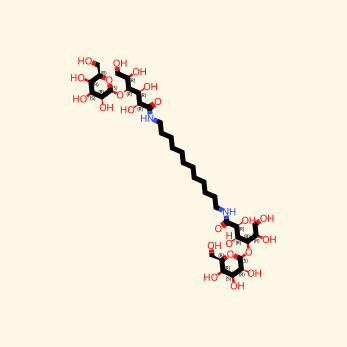 O=C(NCCCCCCCCCCCCNC(=O)[C@H](O)[C@@H](O)[C@H](O[C@@H]1O[C@H](CO)[C@H](O)[C@H](O)[C@H]1O)[C@H](O)CO)[C@H](O)[C@@H](O)[C@H](O[C@@H]1O[C@H](CO)[C@H](O)[C@H](O)[C@H]1O)[C@H](O)CO